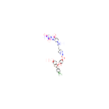 O=C1CCC(N2Cc3cc(NCCCC4CCN(CCOc5ccc(Oc6c(-c7ccc(Br)cc7)sc7cc(O)ccc67)cc5)CC4)ccc3C2=O)C(=O)N1